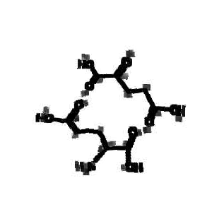 N[C@@H](CCC(=O)O)C(=O)O.O=C(O)CCC(=O)C(=O)O